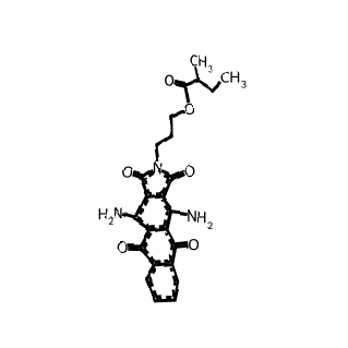 CCC(C)C(=O)OCCCn1c(=O)c2c(N)c3c(=O)c4ccccc4c(=O)c3c(N)c2c1=O